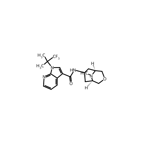 CN1[C@@H]2COC[C@H]1CC(NC(=O)c1cn(C(C)(C)C(F)(F)F)c3ncccc13)C2